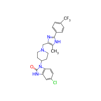 Cc1[nH]c(-c2ccc(C(F)(F)F)cc2)nc1CN1CCC(n2c(=O)[nH]c3cc(Cl)ccc32)CC1